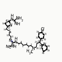 CN(CCCCCCN/C(=N\CCSCc1csc(NC(=N)N)n1)NC#N)CCC(c1ccc(Cl)cc1)c1ccccn1